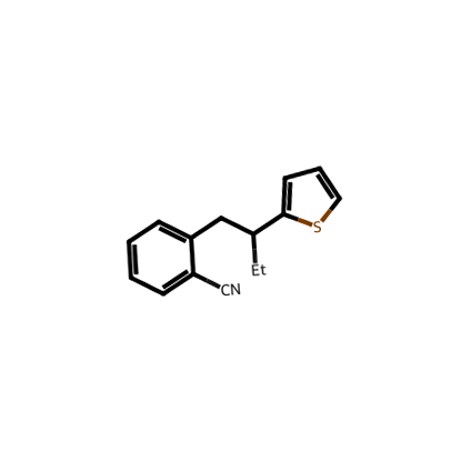 CCC(Cc1ccccc1C#N)c1cccs1